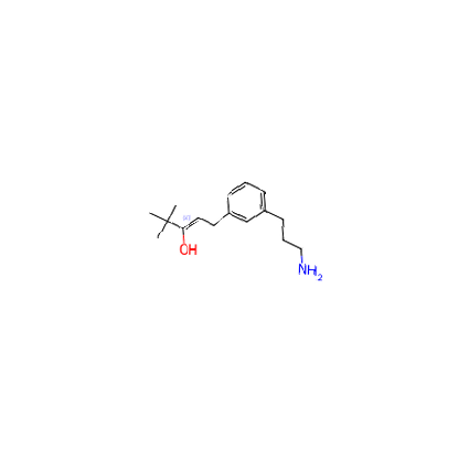 CC(C)(C)/C(O)=C/Cc1cccc(CCCN)c1